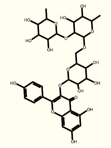 CC1OC(OC2C(OCC3OC(Oc4c(-c5ccc(O)cc5)oc5cc(O)cc(O)c5c4=O)C(O)C(O)C3O)OC(C)C(O)C2O)C(O)C(O)C1O